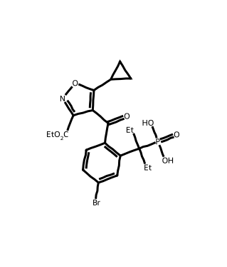 CCOC(=O)c1noc(C2CC2)c1C(=O)c1ccc(Br)cc1C(CC)(CC)P(=O)(O)O